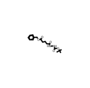 CC(C)(C)OC(=O)NNC(=O)CCCC(=O)OCc1ccccc1